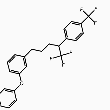 FC(F)(F)c1ccc(C(CCCc2cccc(Oc3ccccc3)c2)C(F)(F)F)cc1